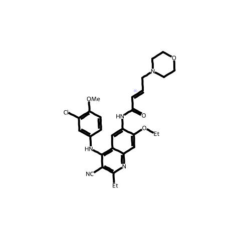 CCOc1cc2nc(CC)c(C#N)c(Nc3ccc(OC)c(Cl)c3)c2cc1NC(=O)/C=C/CN1CCOCC1